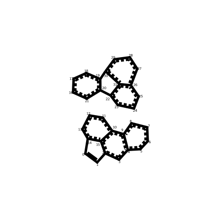 C1=Cc2cc3ccccc3c3cccc1c23.c1ccc2c(c1)-c1cccc3cccc-2c13